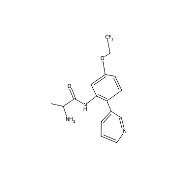 CC(N)C(=O)Nc1cc(OCC(F)(F)F)ccc1-c1cccnc1